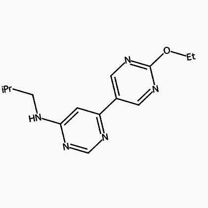 CCOc1ncc(-c2cc(NCC(C)C)ncn2)cn1